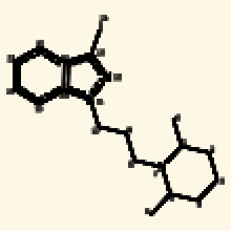 CC1CCCC(C)N1CCCn1nc(I)c2ccccc21